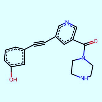 O=C(c1cncc(C#Cc2cccc(O)c2)c1)N1CCNCC1